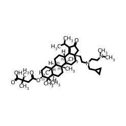 CC(C)C1=C2[C@H]3CC[C@@H]4[C@@]5(C)CC[C@H](OC(=O)CC(C)(C)C(=O)O)C(C)(C)[C@@H]5CC[C@@]4(C)[C@]3(C)CC[C@@]2(CCN(CCN(C)C)CC2CC2)CC1=O